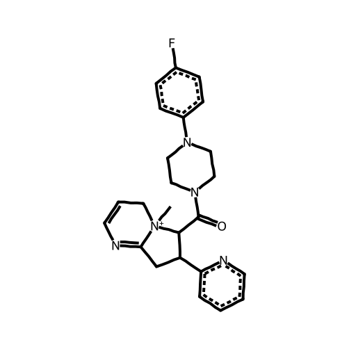 C[N+]12CC=CN=C1CC(c1ccccn1)C2C(=O)N1CCN(c2ccc(F)cc2)CC1